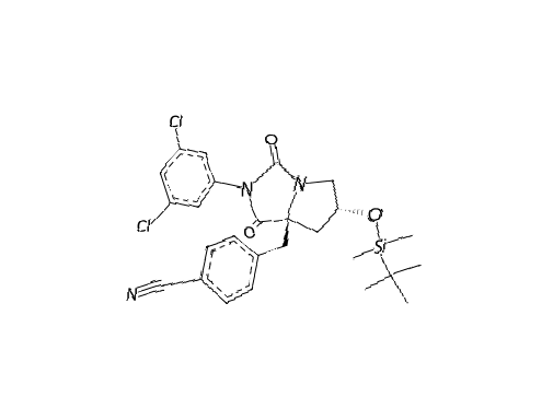 CC(C)(C)[Si](C)(C)O[C@H]1CN2C(=O)N(c3cc(Cl)cc(Cl)c3)C(=O)[C@@]2(Cc2ccc(C#N)cc2)C1